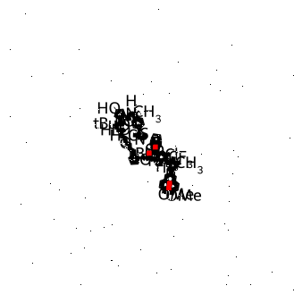 COc1ccc(CN(Cc2ccc(OC)cc2)c2cc(C)c(C(F)(F)F)c(-c3c(Cl)cc4c(N5CC6CCC(C5)N6C(=O)OC(C)(C)C)nc(OC[C@@H]5CCCN5CCCOCCC(=O)N[C@H](C(=O)N5C[C@H](O)C[C@H]5C(=O)N[C@@H](C)c5ccc(-c6scnc6C)cc5)C(C)(C)C)nc4c3F)n2)cc1